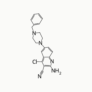 N#Cc1c(N)nc2ccc(N3CCN(Cc4ccccc4)CC3)cc2c1Cl